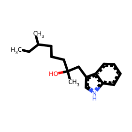 CCC(C)CCCC(C)(O)Cc1c[nH]c2ccccc12